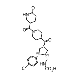 O=C(O)NC[C@H]1CN(C(=O)C2CCN(C(=O)C3CCC(=O)NC3)CC2)C[C@H]1c1ccc(Cl)cc1